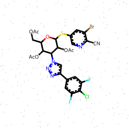 CC(=O)OCC1OC(Sc2cnc(C#N)c(Br)c2)C(OC(C)=O)C(n2cc(-c3cc(F)c(Cl)c(F)c3)nn2)C1OC(C)=O